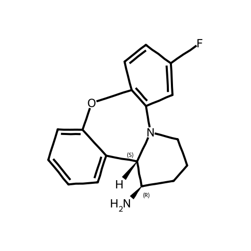 N[C@@H]1CCCN2c3cc(F)ccc3Oc3ccccc3[C@@H]12